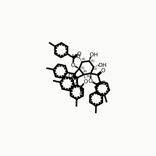 Cc1ccc(C(=O)O[C@@]2(C(=O)c3ccc(C)cc3)[C@@](OC(=O)c3ccc(C)cc3)(C(=O)c3ccc(C)cc3)[C@@H](O)[C@H](O)[C@@H](O)[C@@]2(OC(=O)c2ccc(C)cc2)C(=O)c2ccc(C)cc2)cc1